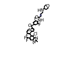 Cc1nc2c(Cl)c(-c3cccn4c(C(=O)c5cc(F)c(NC(=O)/C=C/CNC6CCOCC6)c(F)c5)ccc34)c(C(F)(F)F)cc2n1C